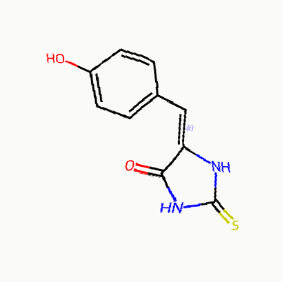 O=C1NC(=S)N/C1=C/c1ccc(O)cc1